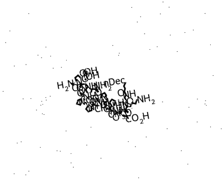 CCCCCCCCCCCCCC(=O)NCC(=O)N[C@@H](CCCCN)C(=O)N[C@@H](CCC(=O)O)C(=O)N[C@@H](C)C(=O)N1CCC[C@H]1C(=O)N1CCC[C@H]1C(=O)N[C@@H](C)C(=O)N1CCC[C@H]1C(=O)N1CCC[C@H]1C(=O)N[C@@H](CCC(N)=O)C(=O)N[C@@H](COP(=O)(O)O)C(=O)N1CCC[C@H]1C(N)=O